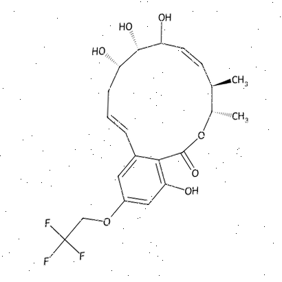 C[C@@H]1/C=C\C(O)[C@@H](O)[C@@H](O)C/C=C/c2cc(OCC(F)(F)F)cc(O)c2C(=O)O[C@H]1C